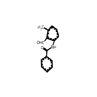 Cc1cccc(NC(=O)c2ccccc2)c1C=O